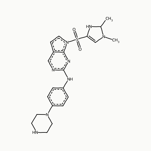 CC1NC(S(=O)(=O)n2ccc3cnc(Nc4ccc(N5CCNCC5)cc4)nc32)=CN1C